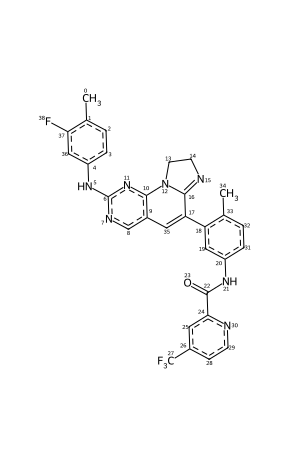 Cc1ccc(Nc2ncc3c(n2)N2CCN=C2C(c2cc(NC(=O)c4cc(C(F)(F)F)ccn4)ccc2C)=C3)cc1F